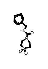 O=C(NCc1ccccc1)N1CCS(=O)(=O)CC1